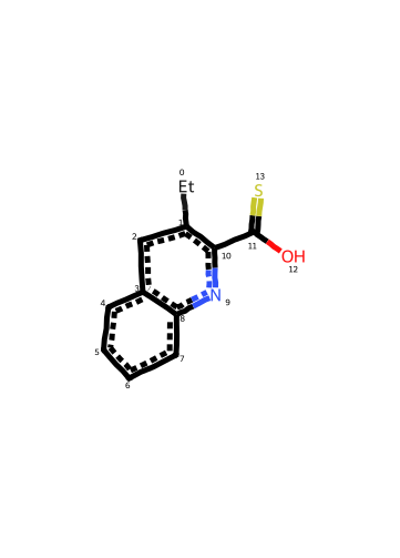 CCc1cc2ccccc2nc1C(O)=S